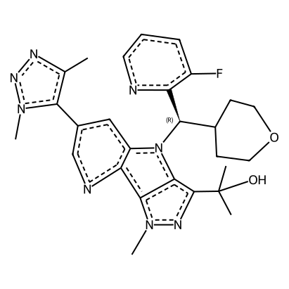 Cc1nnn(C)c1-c1cnc2c3c(c(C(C)(C)O)nn3C)n([C@@H](c3ncccc3F)C3CCOCC3)c2c1